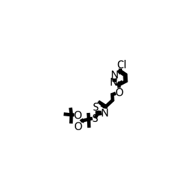 CC(C)(C)OC(=O)C(C)(C)Sc1nc(CCOc2ccc(Cl)nn2)cs1